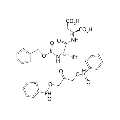 CC(C)[C@H](NC(=O)OCc1ccccc1)C(=O)N[C@@H](CC(=O)O)C(=O)O.O=C(CO[PH](=O)c1ccccc1)CO[PH](=O)c1ccccc1